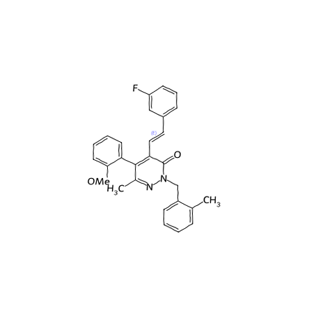 COc1ccccc1-c1c(C)nn(Cc2ccccc2C)c(=O)c1/C=C/c1cccc(F)c1